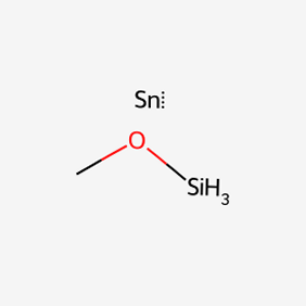 CO[SiH3].[Sn]